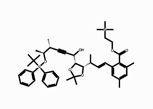 Cc1cc(C)c(C(=O)OCC[Si](C)(C)C)c(/C=C/C(C)[C@@H]2OC(C)(C)O[C@@H]2C(O)C#C[C@@H](C)[C@H](C)O[Si](c2ccccc2)(c2ccccc2)C(C)(C)C)c1